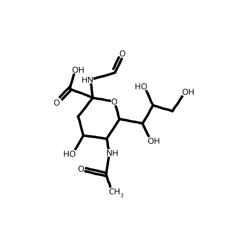 CC(=O)NC1C(O)CC(NC=O)(C(=O)O)OC1C(O)C(O)CO